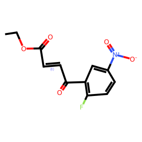 CCOC(=O)/C=C/C(=O)c1cc([N+](=O)[O-])ccc1F